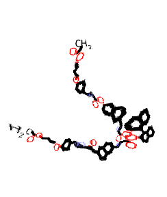 C=CC(=O)OCCCCOc1ccc(/C=C/C(=O)Cc2ccc3cc(/C=C/C(=O)Oc4ccc5ccccc5c4-c4c(OC(=O)/C=C/c5ccc6cc(OC(=O)/C=C/c7ccc(OCCCCOC(=O)C=C)cc7)ccc6c5)ccc5ccccc45)ccc3c2)cc1